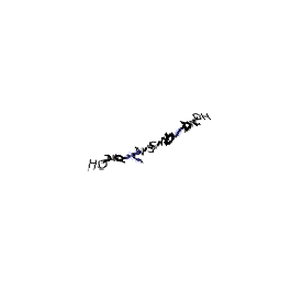 C/C=C/C(/C=C/c1ccc(N(CC)CCO)cc1C)=C\C=N\CCSSCC[n+]1ccc(/C=C/c2ccc(N(CC)CCO)cc2C)cc1C